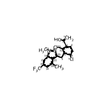 C=C(O)c1ccc(Cl)c(Cc2nn(C)c3cc(C(F)(F)F)cc(C)c23)c1Cl